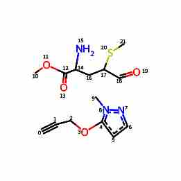 C#CCOc1ccnn1C.COC(=O)C(N)CC(C=O)SC